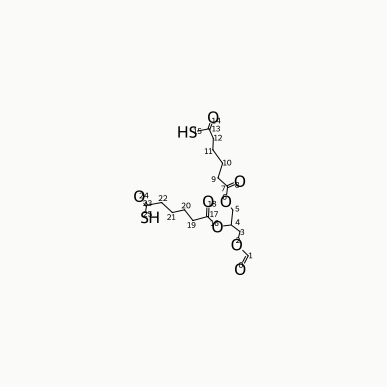 O=COCC(COC(=O)CCCCC(=O)S)OC(=O)CCCCC(=O)S